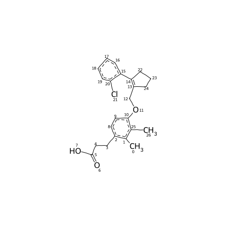 Cc1c(CCC(=O)O)ccc(OCC2=C(c3ccccc3Cl)CCC2)c1C